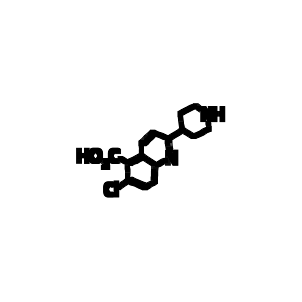 O=C(O)c1c(Cl)ccc2nc(C3CCNCC3)ccc12